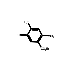 CCOC(=O)c1cc(Cl)c(C(F)(F)F)cc1N